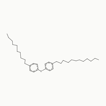 CCCCCCCCCCCCc1ccc([I+]c2ccc(CCCCCCCCCC)cc2)cc1